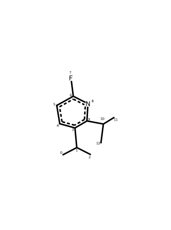 CC(C)c1ccc(F)nc1C(C)C